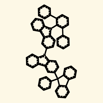 c1ccc(-c2cccc(-c3ccccc3)c2-n2c3ccccc3c3cc(-n4c5ccccc5c5cc(C6(c7ccccc7)c7ccccc7-c7ccccc76)ccc54)ccc32)cc1